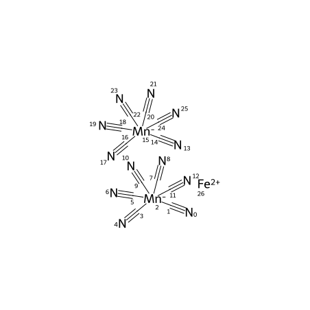 N#[C][Mn-]([C]#N)([C]#N)([C]#N)([C]#N)[C]#N.N#[C][Mn-]([C]#N)([C]#N)([C]#N)([C]#N)[C]#N.[Fe+2]